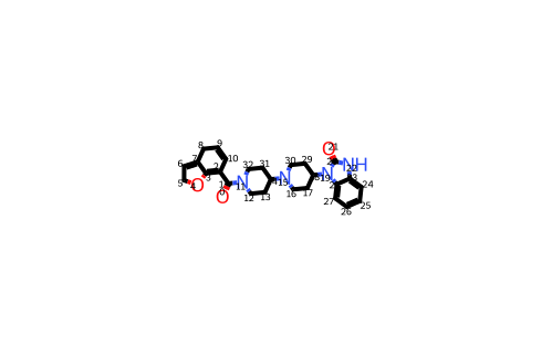 O=C(C1=C2OCC=C2CC=C1)N1CCC(N2CCC(n3c(=O)[nH]c4ccccc43)CC2)CC1